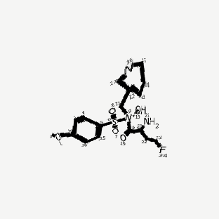 COc1ccc(S(=O)(=O)[N@+](O)(Cc2cccnc2)C(=O)C(N)CCF)cc1